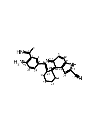 CC(=N)c1cc(-c2nc3ccc4[nH]c(C#N)cc4c3c3c2CCCC3)ccc1N